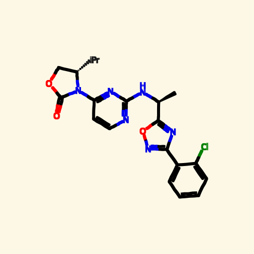 CC(C)[C@H]1COC(=O)N1c1ccnc(N[C@@H](C)c2nc(-c3ccccc3Cl)no2)n1